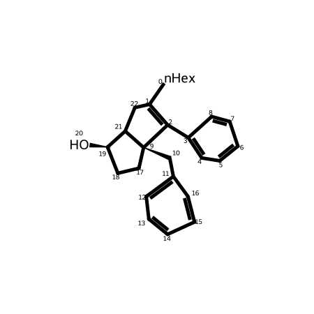 CCCCCCC1=C(c2ccccc2)[C@]2(Cc3ccccc3)CC[C@@H](O)C2C1